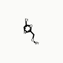 CCc1cnc(COC(C)C)o1